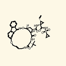 C=C[C@@H]1C[C@]1(NC(=O)[C@@H]1C[C@@H]2C[C@H]1C(=O)N[C@H](C(C)(C)C)C(=O)NC/C=C/COc1ccc3c(c1)/C(=N\O2)c1ccccc1-3)C(=O)NS(=O)(=O)C1CC1